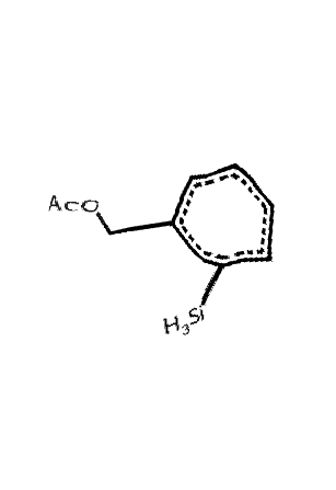 CC(=O)OCc1ccccc1[SiH3]